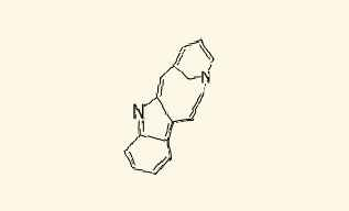 C1=CN2/C=C\C3=c4ccccc4=N/C3=C/C(=C1)C2